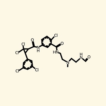 CN(CCNC=O)CCNC(=O)c1cc(NC(=O)C2C(c3cc(Cl)cc(Cl)c3)C2(Cl)Cl)ccc1Cl